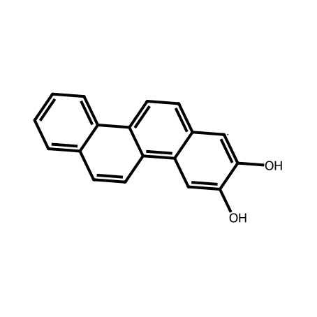 Oc1[c]c2ccc3c4ccccc4ccc3c2cc1O